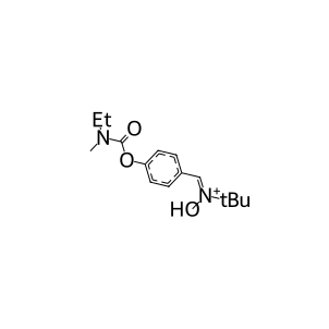 CCN(C)C(=O)Oc1ccc(/C=[N+](\O)C(C)(C)C)cc1